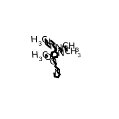 COc1cc2c(N3CCN(C)CC3)nc(N(C)C)nc2cc1OCCCN1CCCC1